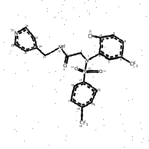 O=C(CN(c1cc(C(F)(F)F)ccc1Cl)S(=O)(=O)c1ccc(C(F)(F)F)cc1)NCc1ccncc1